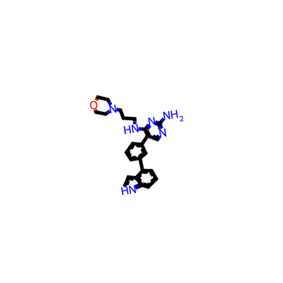 Nc1ncc(-c2cccc(-c3cccc4[nH]ccc34)c2)c(NCCCN2CCOCC2)n1